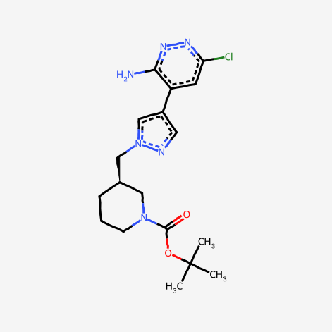 CC(C)(C)OC(=O)N1CCC[C@@H](Cn2cc(-c3cc(Cl)nnc3N)cn2)C1